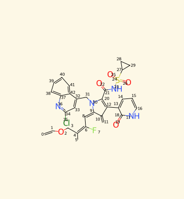 C=COC/C(C)=C(F)\C=c1/c(=C)c(-c2ccc[nH]c2=O)c(C(=O)NS(=O)(=O)C2CC2)n1Cc1cc(Cl)nc2ccccc12